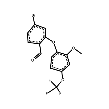 COc1cc(OC(F)(F)F)ccc1Oc1cc(Br)ccc1C=O